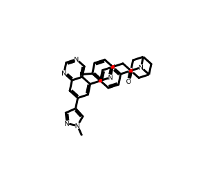 Cn1cc(-c2cc(-c3ccc(N4CC5CC(C4)N5C(=O)Cc4ccc(F)cn4)nc3)c3cncnc3c2)cn1